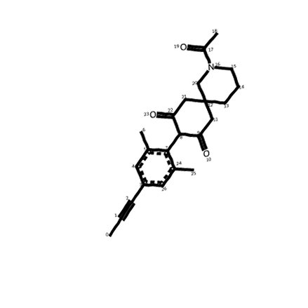 CC#Cc1cc(C)c(C2C(=O)CC3(CCCN(C(C)=O)C3)CC2=O)c(C)c1